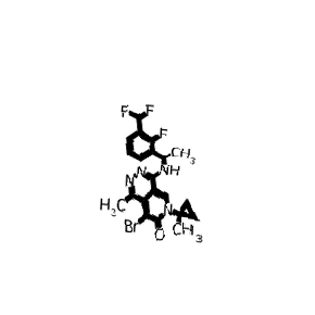 Cc1nnc(N[C@H](C)c2cccc(C(F)F)c2F)c2cn(C3(C)CC3)c(=O)c(Br)c12